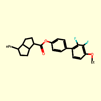 CCCC1CCC2C(C(=O)Oc3ccc(-c4ccc(OCC)c(F)c4F)cc3)CCC12